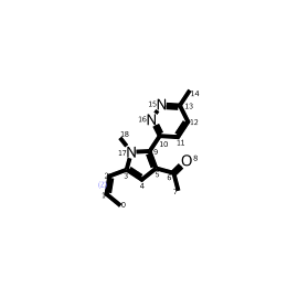 C/C=C\c1cc(C(C)=O)c(-c2ccc(C)nn2)n1C